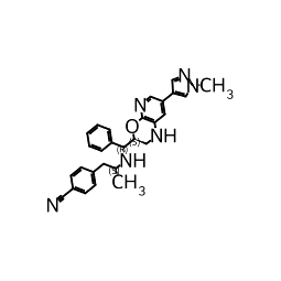 C[C@@H](Cc1ccc(C#N)cc1)N[C@H](c1ccccc1)[C@@H]1CNc2cc(-c3cnn(C)c3)cnc2O1